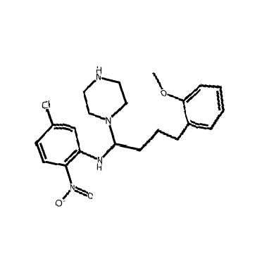 COc1ccccc1CCCC(Nc1cc(Cl)ccc1[N+](=O)[O-])N1CCNCC1